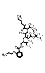 CCCCNC(=O)[C@@H](C[C@H](O)[C@H](C[C@H](CNC(=O)c1ccccc1OCCC)C(C)C)NC(=O)OC(C)(C)C)C(C)C